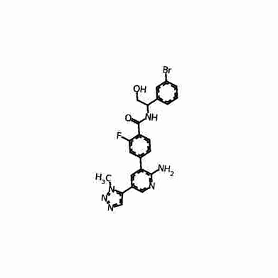 Cn1nncc1-c1cnc(N)c(-c2ccc(C(=O)NC(CO)c3cccc(Br)c3)c(F)c2)c1